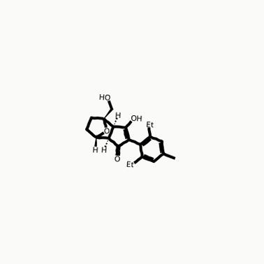 CCc1cc(C)cc(CC)c1C1=C(O)[C@H]2[C@@H](C1=O)[C@@H]1CC[C@@]2(CO)O1